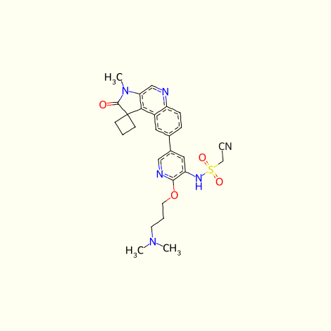 CN(C)CCCOc1ncc(-c2ccc3ncc4c(c3c2)C2(CCC2)C(=O)N4C)cc1NS(=O)(=O)CC#N